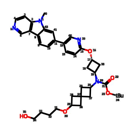 Cn1c2ccncc2c2ccc(-c3ccc(O[C@H]4C[C@H](N(C(=O)OC(C)(C)C)C5CC6(CC(OCCCCO)C6)C5)C4)nc3)cc21